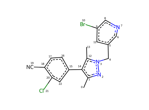 Cc1nn(Cc2cncc(Br)c2)c(C)c1-c1ccc(C#N)c(Cl)c1